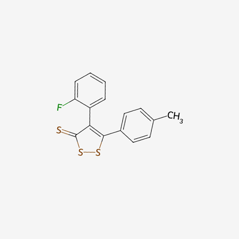 Cc1ccc(-c2ssc(=S)c2-c2ccccc2F)cc1